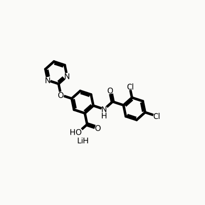 O=C(Nc1ccc(Oc2ncccn2)cc1C(=O)O)c1ccc(Cl)cc1Cl.[LiH]